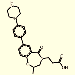 CC1CN(CCC(=O)O)C(=O)c2cc(-c3ccc(N4CCNCC4)cc3)ccc2O1